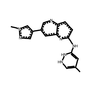 CC1=CNNC(Nc2ccc3ncc(-c4cnn(C)c4)cc3n2)=C1